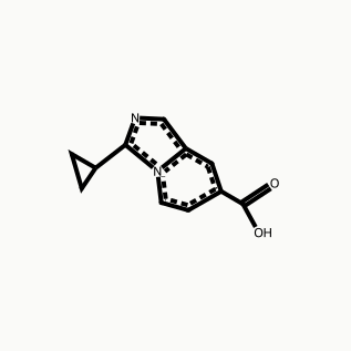 O=C(O)c1ccn2c(C3CC3)ncc2c1